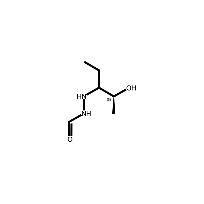 CCC(NNC=O)[C@H](C)O